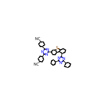 N#Cc1ccc(-c2nc(-c3ccc(C#N)cc3)nc(-c3ccc4c(c3)sc3cccc(-c5nc(-c6ccccc6)nc(-c6ccccc6)n5)c34)n2)cc1